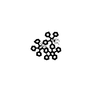 C[Si]1(C)C(c2ccccc2)=C(c2ccccc2)C(c2ccccc2)=C1c1ccc(-c2c(-c3ccc(C4=C(c5ccccc5)C(c5ccccc5)=C(c5ccccc5)[Si]4(C)C)cc3)c(-c3ccccc3)c3ccccc3c2-c2ccccc2)cc1